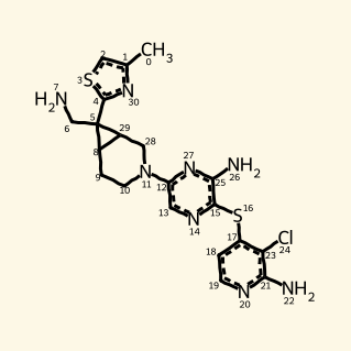 Cc1csc(C2(CN)C3CCN(c4cnc(Sc5ccnc(N)c5Cl)c(N)n4)CC32)n1